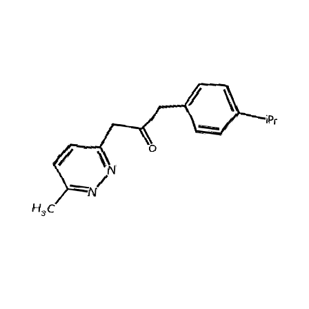 Cc1ccc(CC(=O)Cc2ccc(C(C)C)cc2)nn1